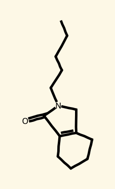 CCCCCN1CC2=C(CCCC2)C1=O